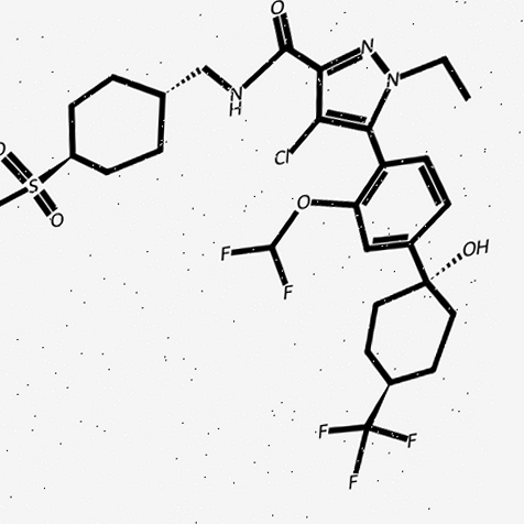 CCn1nc(C(=O)NC[C@H]2CC[C@H](S(C)(=O)=O)CC2)c(Cl)c1-c1ccc([C@]2(O)CC[C@H](C(F)(F)F)CC2)cc1OC(F)F